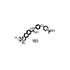 CC(=N)N1CCC(Oc2ccc(NC(=N)c3ccc4ccc(CN(C(C)=O)S(N)(=O)=O)cc4c3)cc2)CC1.Cl.Cl